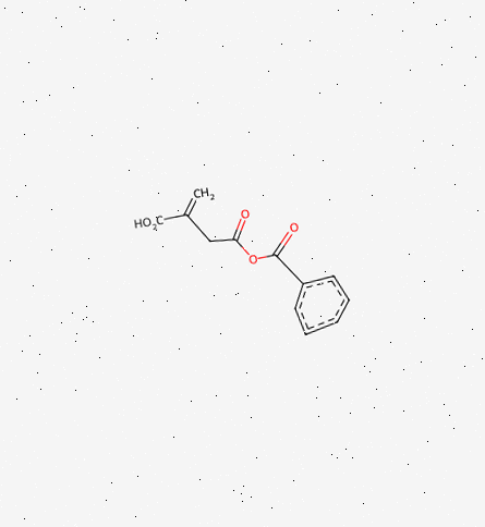 C=C(CC(=O)OC(=O)c1ccccc1)C(=O)O